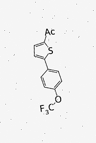 CC(=O)c1ccc(-c2ccc(OC(F)(F)F)cc2)s1